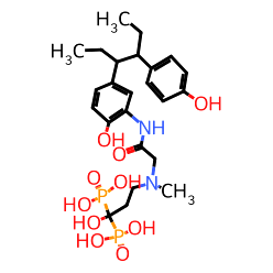 CCC(c1ccc(O)cc1)C(CC)c1ccc(O)c(NC(=O)CN(C)CCC(O)(P(=O)(O)O)P(=O)(O)O)c1